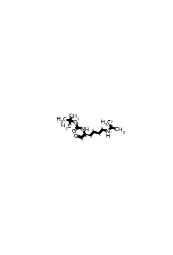 CC(C)NCCCC[C@@H](C=O)NC(=O)OC(C)(C)C